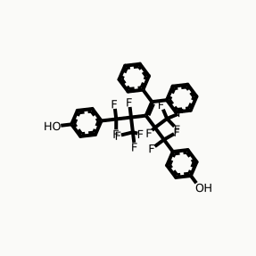 Oc1ccc(C(F)(F)C(F)(C(=C(c2ccccc2)c2ccccc2)C(F)(C(F)(F)F)C(F)(F)c2ccc(O)cc2)C(F)(F)F)cc1